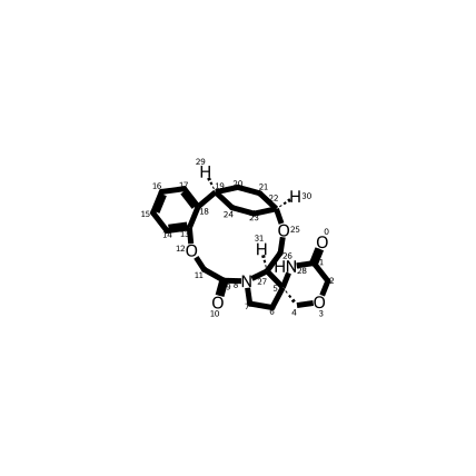 O=C1COC[C@@]2(CCN3C(=O)COc4ccccc4[C@H]4CC[C@H](CC4)OC[C@H]32)N1